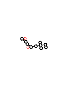 c1ccc2c(-c3c4ccccc4c(-c4ccc(-c5ccc6oc7cc8cc9c(cc8cc7c6c5)oc5ccccc59)cc4)c4ccccc34)cccc2c1